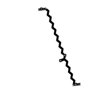 CCCCCCCCCCCCCCCCCCCCCCCCOC(=O)CCCCCCCCCCCCCCCCC